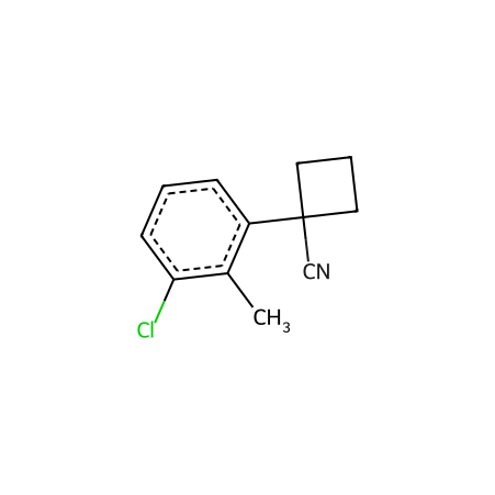 Cc1c(Cl)cccc1C1(C#N)CCC1